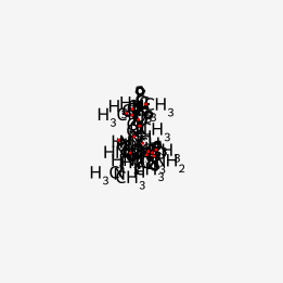 CC(C)C[C@@H](NC(=O)[C@@H](CCCCN(C)C)NC(=O)[C@@H]1CCCN1C(=O)CNC(=O)[C@H](CC(C)C)N(C)C(=O)[C@@H](Cc1ccccc1)NC(=O)[C@H](CC(C)C)N(C)C(=O)[C@H](CC(C)C)N(C)C(=O)Cc1ccccc1)C(=O)N[C@@H](CC(=O)N(C)CC(N)=O)C(=O)N(C)[C@@H](Cc1ccccc1)C(=O)N[C@@H](C)C(=O)N1CCCCC1